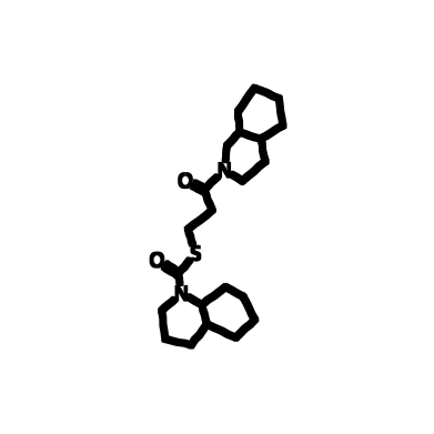 O=C(CCSC(=O)N1CCCC2CCCCC21)N1CCC2CCCCC2C1